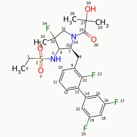 CCS(=O)(=O)NC1[C@H](Cc2cccc(-c3cc(F)cc(F)c3)c2F)N(C(=O)C(C)(C)O)CC1(C)F